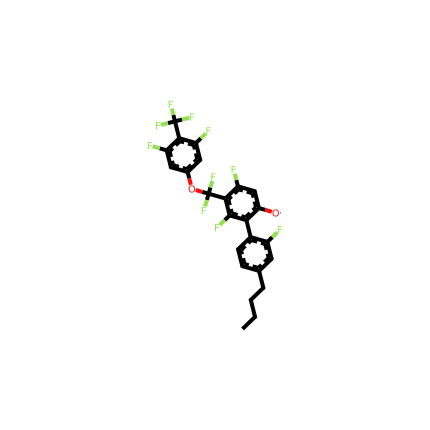 CCCCc1ccc(-c2c([O])cc(F)c(C(F)(F)Oc3cc(F)c(C(F)(F)F)c(F)c3)c2F)c(F)c1